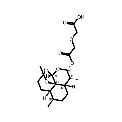 C[C@H]1[C@@H](OC(=O)COCC(=O)O)O[C@@H]2OC3(C)CC[C@H]4[C@H](C)CC[C@@H]1[C@@]24O3